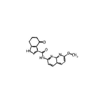 COc1ccc2ccc(NC(=O)c3c[nH]c4c3C(=O)CCC4)nc2n1